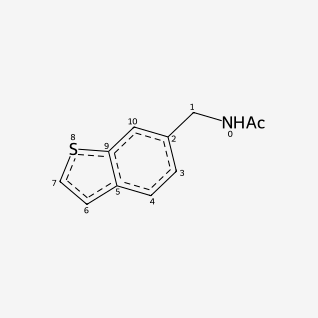 CC(=O)NCc1ccc2ccsc2c1